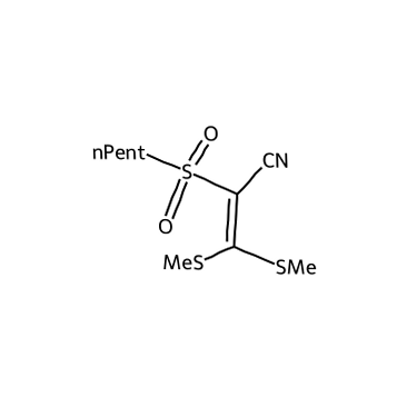 CCCCCS(=O)(=O)C(C#N)=C(SC)SC